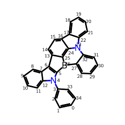 c1ccc(-n2c3c(c4ccccc42)-c2ccc4c5ccccc5n5c4c2B3c2ccccc2-5)cc1